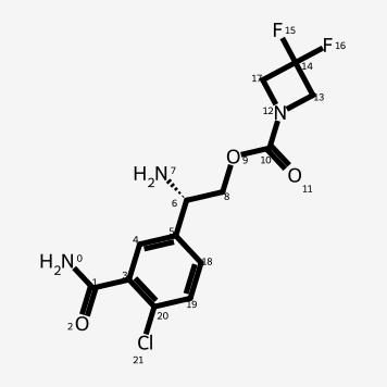 NC(=O)c1cc([C@H](N)COC(=O)N2CC(F)(F)C2)ccc1Cl